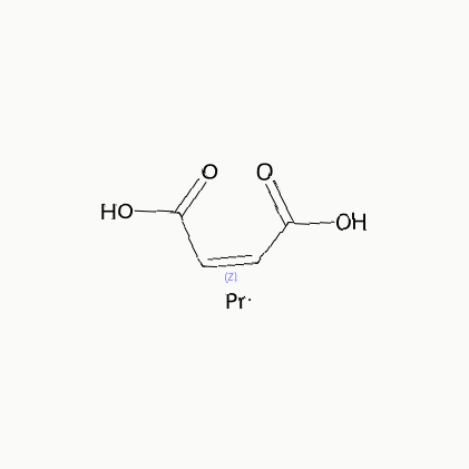 O=C(O)/C=C\C(=O)O.[Pr]